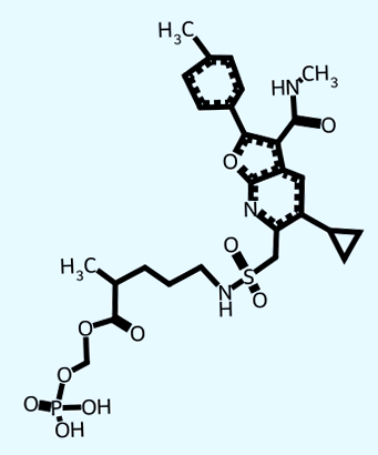 CNC(=O)c1c(-c2ccc(C)cc2)oc2nc(CS(=O)(=O)NCCCC(C)C(=O)OCOP(=O)(O)O)c(C3CC3)cc12